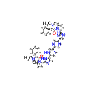 CN(C)[C@@H](C(=O)N1CCC[C@H]1c1ncc(-c2cnc(C3=CNC(c4cnc([C@@H]5CCCN5C(=O)[C@@H](c5ccccc5)N(C)C)[nH]4)C=N3)cn2)[nH]1)c1ccccc1